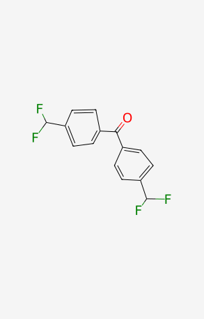 O=C(c1ccc(C(F)F)cc1)c1ccc(C(F)F)cc1